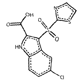 O=C(O)c1[nH]c2ccc(Cl)cc2c1S(=O)(=O)c1nccs1